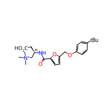 CC(C)(C)c1ccc(OCc2ccc(C(=O)N[C@H](CC(=O)O)C[N+](C)(C)C)o2)cc1